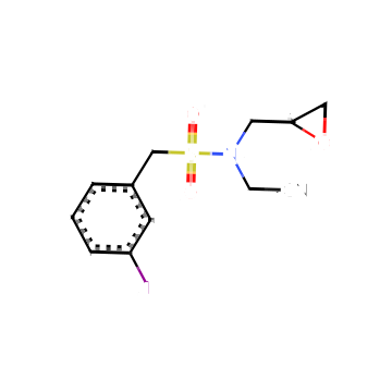 N#CCN(CC1CO1)S(=O)(=O)Cc1cccc(I)c1